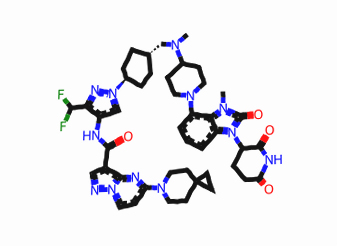 CN(C[C@H]1CC[C@H](n2cc(NC(=O)c3cnn4ccc(N5CCC6(CC5)CC6)nc34)c(C(F)F)n2)CC1)C1CCN(c2cccc3c2n(C)c(=O)n3C2CCC(=O)NC2=O)CC1